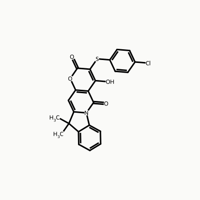 CC1(C)c2ccccc2-n2c1cc1oc(=O)c(Sc3ccc(Cl)cc3)c(O)c1c2=O